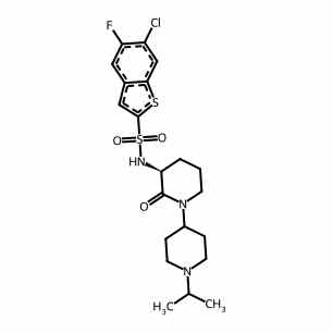 CC(C)N1CCC(N2CCC[C@H](NS(=O)(=O)c3cc4cc(F)c(Cl)cc4s3)C2=O)CC1